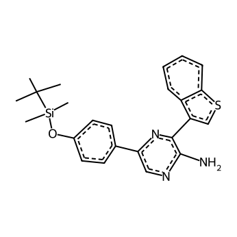 CC(C)(C)[Si](C)(C)Oc1ccc(-c2cnc(N)c(-c3csc4ccccc34)n2)cc1